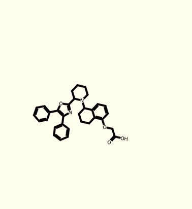 O=C(O)COc1cccc2c1CCCC2N1CCCCC1c1nc(-c2ccccc2)c(-c2ccccc2)o1